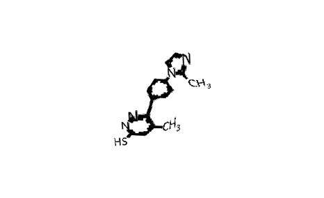 Cc1cc(S)nnc1-c1ccc(-n2ccnc2C)cc1